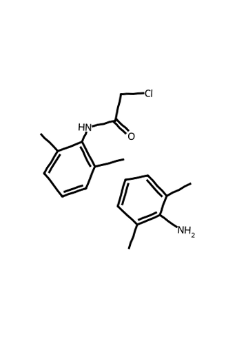 Cc1cccc(C)c1N.Cc1cccc(C)c1NC(=O)CCl